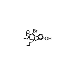 CCCCC12Cc3cc(O)ccc3C1=C(Br)C(=O)C(CC)(CC)C2